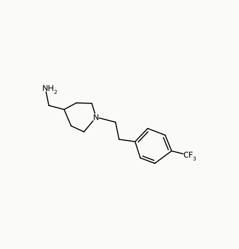 NCC1CCN(CCc2ccc(C(F)(F)F)cc2)CC1